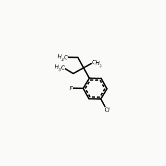 CCC(C)(CC)c1ccc(Cl)cc1F